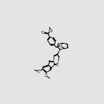 COC(=O)c1ccc(CN2C3CCC(C(F)CC4Cc5cc(OC)c(OC)cc5C4=O)C2CC3)cc1